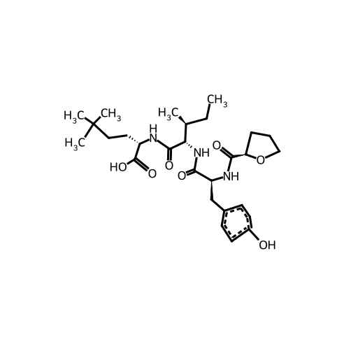 CC[C@H](C)[C@H](NC(=O)[C@H](Cc1ccc(O)cc1)NC(=O)[C@H]1CCCO1)C(=O)N[C@@H](CCC(C)(C)C)C(=O)O